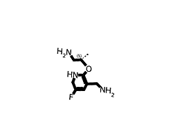 C[C@@H](CN)OC1=C(CN)C=C(F)CN1